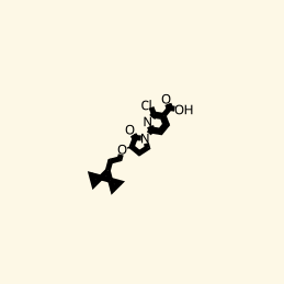 O=C(O)c1ccc(N2CC[C@H](OCCC3C4(CC4)C34CC4)C2=O)nc1Cl